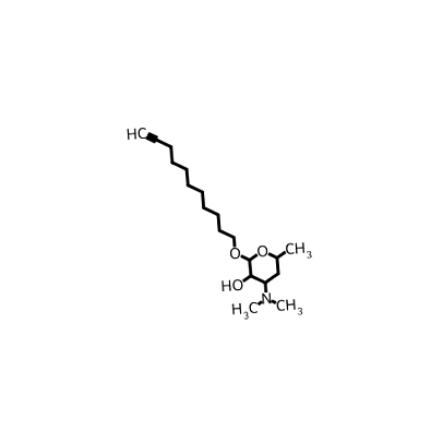 C#CCCCCCCCCCOC1OC(C)CC(N(C)C)C1O